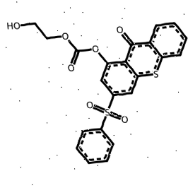 O=C(OCCO)Oc1cc(S(=O)(=O)c2ccccc2)cc2sc3ccccc3c(=O)c12